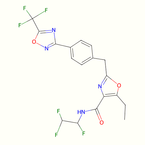 CCc1oc(Cc2ccc(-c3noc(C(F)(F)F)n3)cc2)nc1C(=O)NC(F)C(F)F